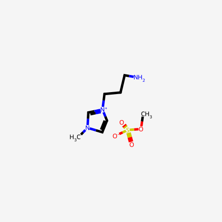 COS(=O)(=O)[O-].Cn1cc[n+](CCCN)c1